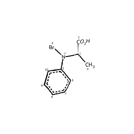 C[C@@H](C(=O)O)N(Br)c1ccccc1